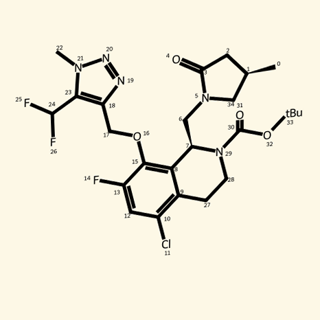 C[C@@H]1CC(=O)N(C[C@@H]2c3c(c(Cl)cc(F)c3OCc3nnn(C)c3C(F)F)CCN2C(=O)OC(C)(C)C)C1